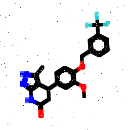 COc1cc(C2CC(=O)Nc3n[nH]c(C)c32)ccc1OCc1cccc(C(F)(F)F)c1